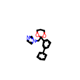 c1ccc(-c2cccc(C3(Cn4ccnc4)OCCCO3)c2)cc1